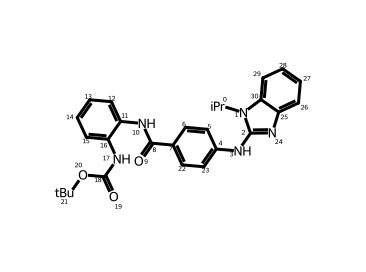 CC(C)n1c(Nc2ccc(C(=O)Nc3ccccc3NC(=O)OC(C)(C)C)cc2)nc2ccccc21